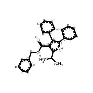 CC(C)c1[nH]c(-c2ccccc2)c(-c2ccccc2)c1C(=O)OCc1ccccc1